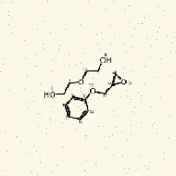 OCCOCCO.c1ccc(OCC2CO2)cc1